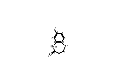 O=C1CCOc2ccc(Cl)cc2N1